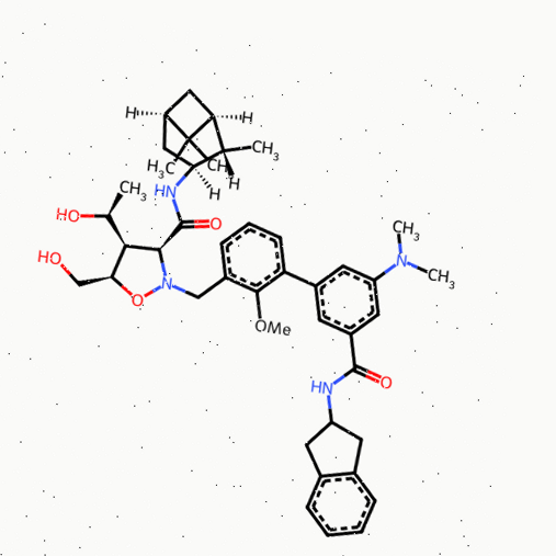 COc1c(CN2O[C@@H](CO)[C@@H]([C@H](C)O)[C@H]2C(=O)N[C@H]2C[C@H]3C[C@@H]([C@@H]2C)C3(C)C)cccc1-c1cc(C(=O)NC2Cc3ccccc3C2)cc(N(C)C)c1